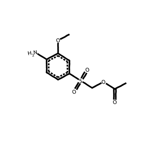 COc1cc(S(=O)(=O)COC(C)=O)ccc1N